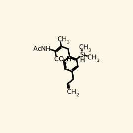 C=CCc1ccc(CC(C)=C(NC(C)=O)C(=O)O)c([SiH](C)C)c1